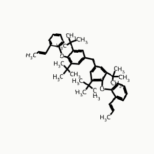 CC=Cc1ccccc1Oc1c(C(C)(C)C)cc(Cc2cc(C(C)(C)C)c(Oc3ccccc3C=CC)c(C(C)(C)C)c2)cc1C(C)(C)C